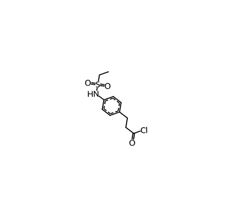 CCS(=O)(=O)Nc1ccc(CCC(=O)Cl)cc1